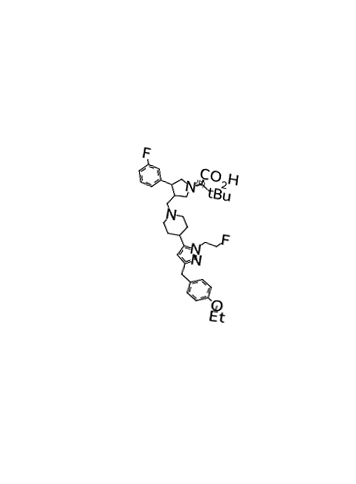 CCOc1ccc(Cc2cc(C3CCN(CC4CN([C@@H](C(=O)O)C(C)(C)C)CC4c4cccc(F)c4)CC3)n(CCF)n2)cc1